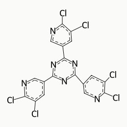 Clc1cc(-c2nc(-c3cnc(Cl)c(Cl)c3)nc(-c3cnc(Cl)c(Cl)c3)n2)cnc1Cl